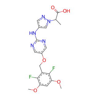 COc1cc(OC)c(F)c(COc2cnc(Nc3cnn(C(C)C(=O)O)c3)nc2)c1F